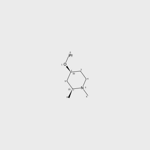 CC(C)O[C@H]1CCN(C)[C@@H](C)C1